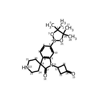 CC1(C)OB(c2ccc3c(c2)N(C2CC(=O)C2)C(=O)C32CCNCC2)OC1(C)C